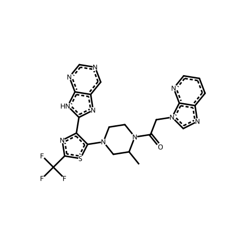 CC1CN(c2sc(C(F)(F)F)nc2-c2nc3cncnc3[nH]2)CCN1C(=O)Cn1cnc2cccnc21